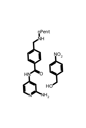 CCCCCNCc1ccc(C(=O)Nc2ccnc(N)c2)cc1.O=[N+]([O-])c1ccc(CO)cc1